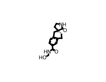 O=C(NCO)c1ccc2c(c1)CC[C@@]1(CCNC1=O)C2